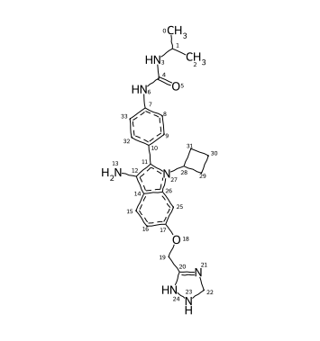 CC(C)NC(=O)Nc1ccc(-c2c(N)c3ccc(OCC4=NCNN4)cc3n2C2CCC2)cc1